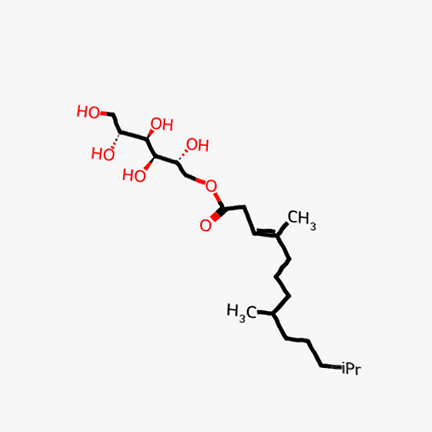 CC(=CCC(=O)OC[C@@H](O)[C@@H](O)[C@H](O)[C@H](O)CO)CCCC(C)CCCC(C)C